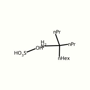 CCCCCCC(N)(CCC)CCC.O=S(=O)(O)O